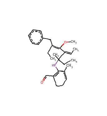 C/C=C(\C(OC)=C(/CC)Cc1ccccc1)C(C)(CC)PC1=C(C=O)CCC=C1C